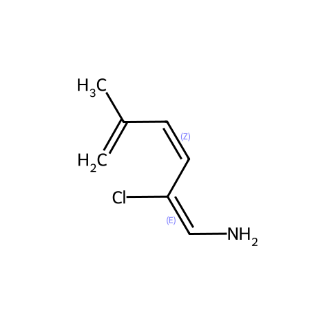 C=C(C)/C=C\C(Cl)=C/N